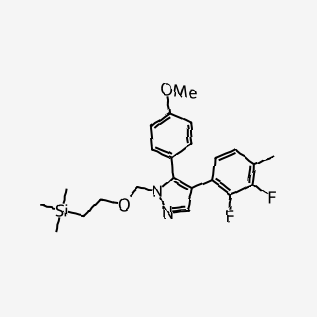 COc1ccc(-c2c(-c3ccc(C)c(F)c3F)cnn2COCC[Si](C)(C)C)cc1